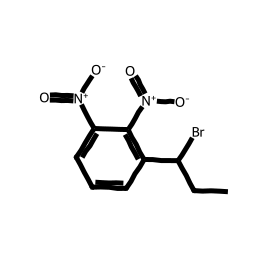 CCC(Br)c1cccc([N+](=O)[O-])c1[N+](=O)[O-]